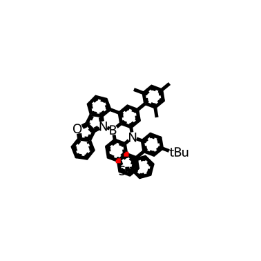 Cc1cc(C)c(-c2cc3c4c(c2)N(c2ccc(C(C)(C)C)cc2-c2ccccc2)c2c(ccc5sc6ccccc6c25)B4n2c4c-3cccc4c3oc4ccccc4c32)c(C)c1